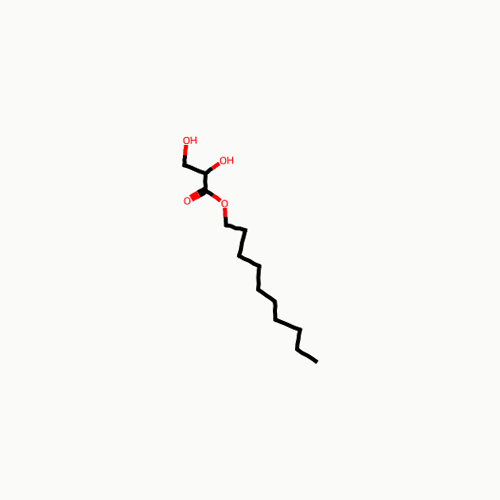 CCCCCCCCCCOC(=O)C(O)CO